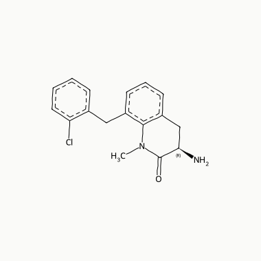 CN1C(=O)[C@H](N)Cc2cccc(Cc3ccccc3Cl)c21